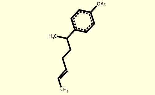 CC=CCCC(C)c1ccc(OC(C)=O)cc1